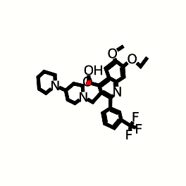 CCOc1cc2nc(-c3cccc(C(F)(F)F)c3)c(CN3CCC(N4CCCCC4)CC3)c(C(=O)O)c2cc1OC